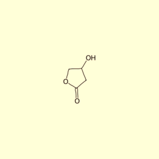 O=C1CC(O)CO1